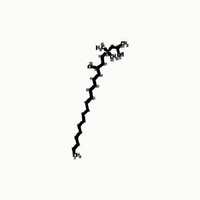 CCCCCCCCCCCCCCCC(Cl)CC[N+](C)(C)CC(C)O